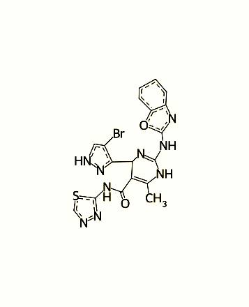 CC1=C(C(=O)Nc2nncs2)C(c2n[nH]cc2Br)N=C(Nc2nc3ccccc3o2)N1